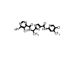 CCCc1ncnc(C(=O)NC(C)c2ncc(C(=O)Nc3cc(C(F)(F)F)c(Cl)cn3)s2)c1Cl